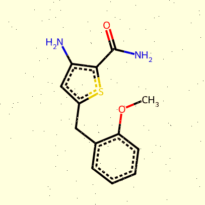 COc1ccccc1Cc1cc(N)c(C(N)=O)s1